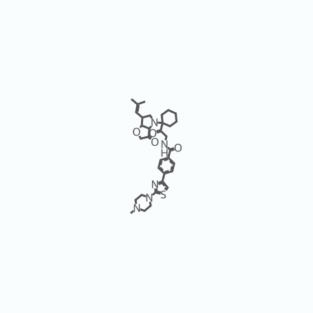 CC(C)=CC1CN(C2(C(=O)CNC(=O)c3ccc(-c4csc(N5CCN(C)CC5)n4)cc3)CCCCC2)C2C(=O)COC12